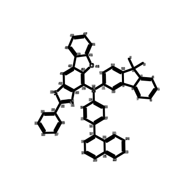 CC1(C)c2ccccc2-c2cc(N(c3ccc(-c4cccc5ccccc45)cc3)c3c4nc(-c5ccccc5)sc4cc4c3oc3ccccc34)ccc21